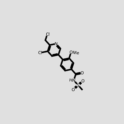 COc1cc(C(=O)NS(C)(=O)=O)ccc1-c1cnc(CCl)c(Cl)c1